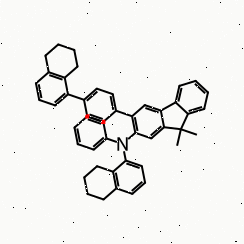 CC1(C)c2ccccc2-c2cc(-c3ccc(-c4cccc5c4CCCC5)cc3)c(N(c3ccccc3)c3cccc4c3CCCC4)cc21